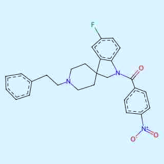 O=C(c1ccc([N+](=O)[O-])cc1)N1CC2(CCN(CCc3ccccc3)CC2)c2cc(F)ccc21